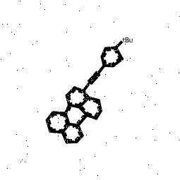 CC(C)(C)c1ccc(C#Cc2ccc3c4cccc5cccc(c6cccc2c63)c54)cc1